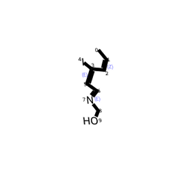 C\C=C/C(I)=C\C=N\CO